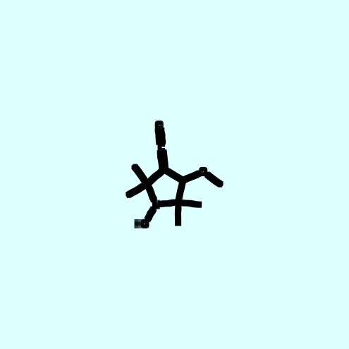 COC1C(=C=O)C(C)(C)N(O)C1(C)C